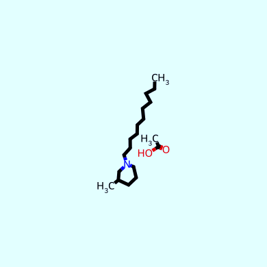 CC(=O)O.CCCCCCCCCCCN1CCCC(C)C1